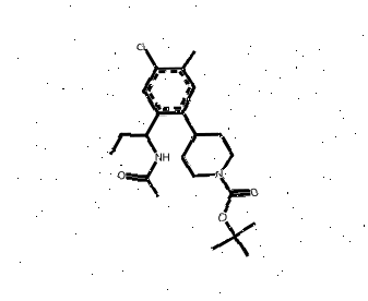 CCC(NC(C)=O)c1cc(Cl)c(C)cc1C1CCN(C(=O)OC(C)(C)C)CC1